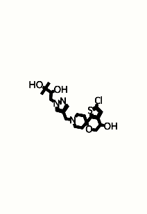 CC(C)(O)C(O)Cn1cc(CN2CCC3(CC2)OCC(O)c2cc(Cl)sc23)cn1